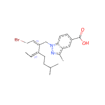 C/C=C(CCC(C)C)\C(=C/CBr)Cn1nc(C)c2cc(C(=O)O)ccc21